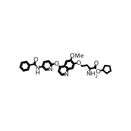 COc1cc2c(Oc3ccc(NC(=O)c4ccccc4)cn3)ccnc2cc1OCC[C@H](N)C(=O)OC1CCCC1